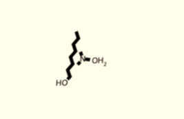 CCCCCCCCO.CN(C)C.O